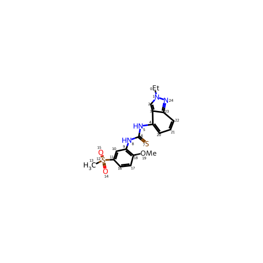 CCn1cc2c(NC(=S)Nc3cc(S(C)(=O)=O)ccc3OC)cccc2n1